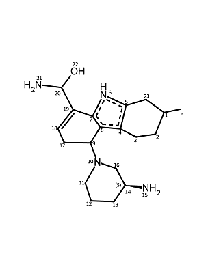 CC1CCc2c([nH]c3c2C(N2CCC[C@H](N)C2)CC=C3C(N)O)C1